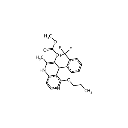 CCCOc1nccc2c1C(c1ccccc1C(F)(F)F)C(OC(=O)OC)=C(C)N2